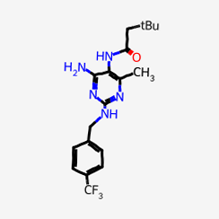 Cc1nc(NCc2ccc(C(F)(F)F)cc2)nc(N)c1NC(=O)CC(C)(C)C